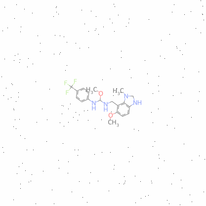 COc1ccc2c(c1CNC(Nc1ccc(C(F)(F)F)cc1)OC)N(C)CN2